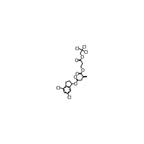 C=C(CC(=O)OC1CCc2c(Cl)cc(Cl)cc21)C(=O)OCCC(=O)OCC(Cl)(Cl)Cl